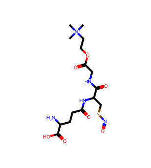 C[N+](C)(C)CCOC(=O)CNC(=O)C(CSN=O)NC(=O)CCC(N)C(=O)O